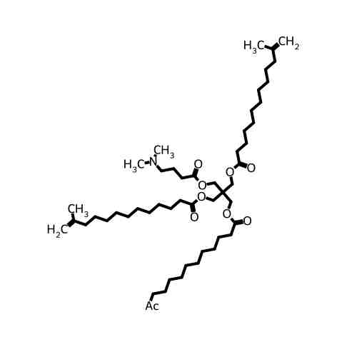 C=C(C)CCCCCCCCCCC(=O)OCC(COC(=O)CCCCCCCCCCC(=C)C)(COC(=O)CCCCCCCCCCC(C)=O)COC(=O)CCCN(C)C